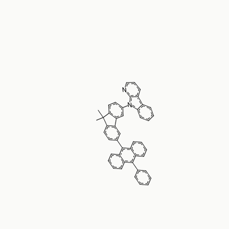 CC1(C)c2ccc(-c3c4ccccc4c(-c4ccccc4)c4ccccc34)cc2-c2cc(-n3c4ccccc4c4cccnc43)ccc21